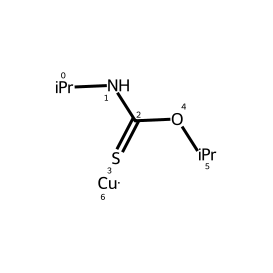 CC(C)NC(=S)OC(C)C.[Cu]